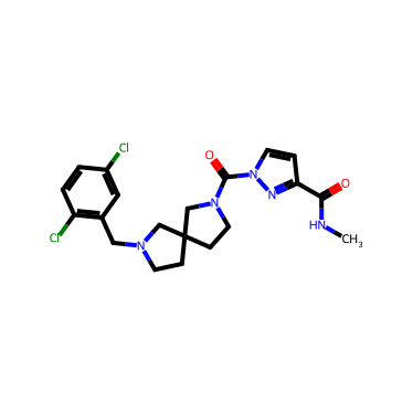 CNC(=O)c1ccn(C(=O)N2CCC3(CCN(Cc4cc(Cl)ccc4Cl)C3)C2)n1